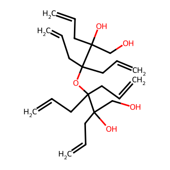 C=CCC(O)(CO)C(CC=C)(CC=C)OC(CC=C)(CC=C)C(O)(CO)CC=C